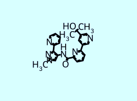 Cn1cc(NC(=O)c2cccc(-c3cncc(C(C)(C)O)c3)n2)c(-c2ccccn2)n1